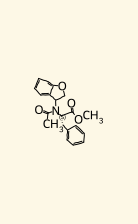 COC(=O)[C@H](Cc1ccccc1)N(C(C)=O)C1COc2ccccc21